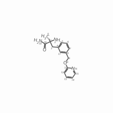 CC(N)(Cc1cccc(COc2ccccn2)c1)C(N)=O